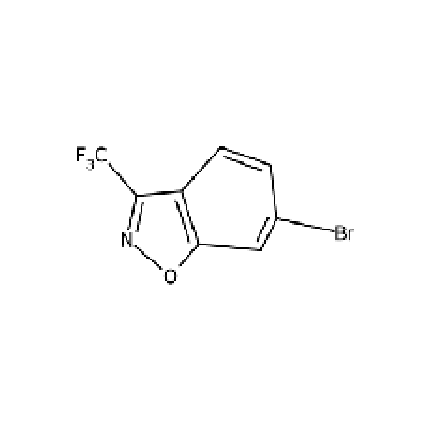 FC(F)(F)c1noc2cc(Br)ccc12